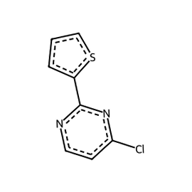 Clc1ccnc(-c2cccs2)n1